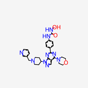 O=C(NO)Nc1ccc(-c2nc(N3CCOCC3)c3cnn(C4CCN(Cc5cccnc5)CC4)c3n2)cc1